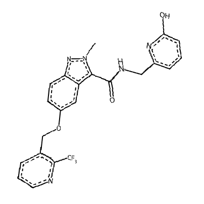 Cn1nc2ccc(OCc3cccnc3C(F)(F)F)cc2c1C(=O)NCc1cccc(O)n1